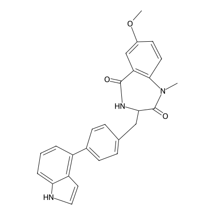 COc1ccc2c(c1)C(=O)NC(Cc1ccc(-c3cccc4[nH]ccc34)cc1)C(=O)N2C